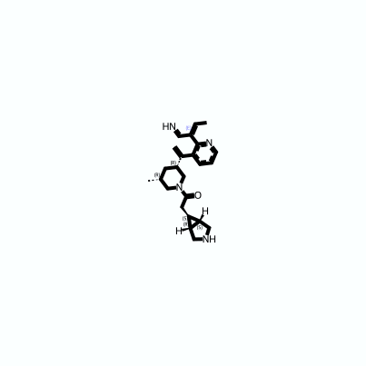 C=C(c1cccnc1/C(C=N)=C\C)[C@H]1C[C@@H](C)CN(C(=O)C[C@H]2[C@@H]3CNC[C@@H]32)C1